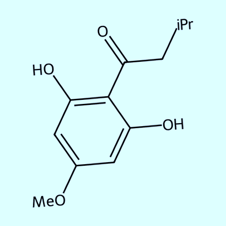 COc1cc(O)c(C(=O)CC(C)C)c(O)c1